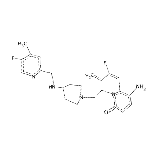 C=C/C(F)=C\c1c(N)ccc(=O)n1CCN1CCC(NCc2cc(C)c(F)cn2)CC1